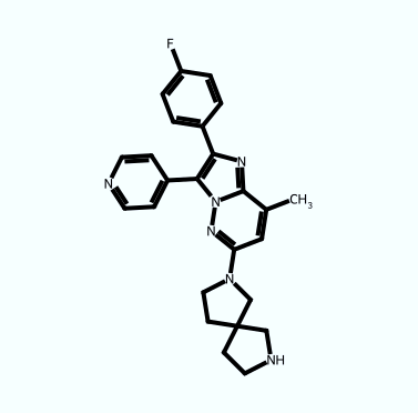 Cc1cc(N2CCC3(CCNC3)C2)nn2c(-c3ccncc3)c(-c3ccc(F)cc3)nc12